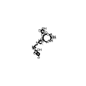 CC[C@H]1OC(=O)[C@H](C)[C@@H](O[C@H]2C[C@@](C)(OC)[C@@H](O)[C@H](C)O2)[C@H](C)[C@@H](O[C@H]2C[C@@H](N(C)CCc3cn([C@@H](CO)[C@@H](O)c4ccc(SC)cc4)nn3)C[C@@H](C)O2)[C@](C)(O)C[C@@H](C)CN[C@H](C)[C@@H](O)[C@]1(C)O